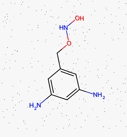 Nc1cc(N)cc(CONO)c1